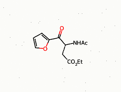 CCOC(=O)CC(NC(C)=O)C(=O)c1ccco1